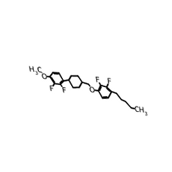 CCCCCc1ccc(OCC2CCC(c3ccc(OC)c(F)c3F)CC2)c(F)c1F